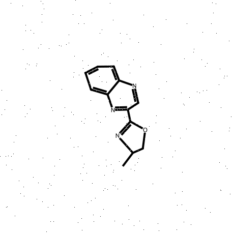 CC1COC(c2cnc3ccccc3n2)=N1